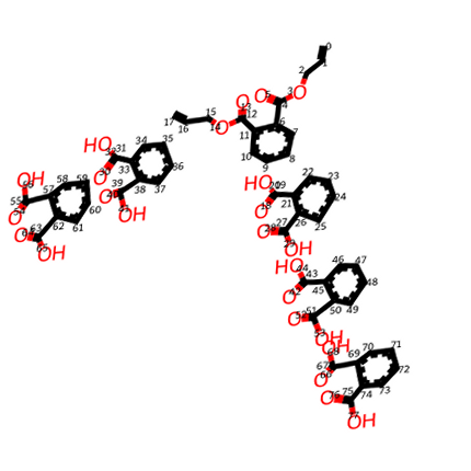 C=CCOC(=O)c1ccccc1C(=O)OCC=C.O=C(O)c1ccccc1C(=O)O.O=C(O)c1ccccc1C(=O)O.O=C(O)c1ccccc1C(=O)O.O=C(O)c1ccccc1C(=O)O.O=C(O)c1ccccc1C(=O)O